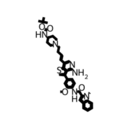 COc1cc(-c2csc3c(C=CCCN4CCC(NC(=O)OC(C)(C)C)CC4)cnc(N)c23)ccc1NC(=O)c1cc2ccccc2n1C